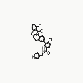 O=C(NCc1ccncc1)c1ccc(Cl)c(-c2ccc3c(c2)CCCN3C(=O)c2c(F)cccc2Cl)c1